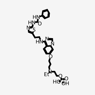 CCN(CCCOc1ccc2c(NCCc3cnc(NC(=O)Nc4ccccc4)s3)ncnc2c1)CCOP(=O)(O)O